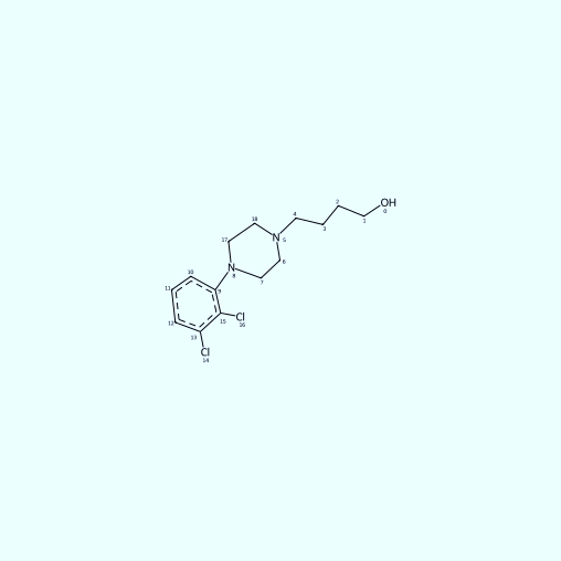 OCCCCN1CCN(c2cccc(Cl)c2Cl)CC1